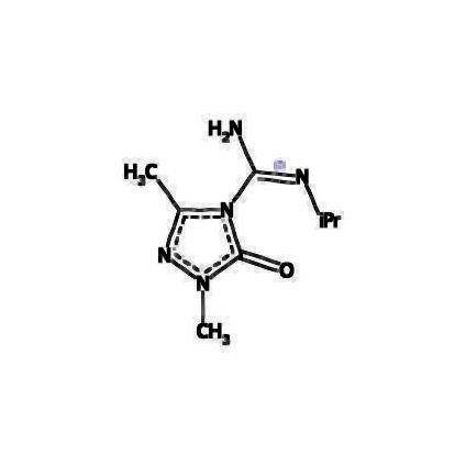 Cc1nn(C)c(=O)n1/C(N)=N\C(C)C